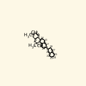 CC1(C)C=CC2=C(C1)CC(C)(C)c1c2ccc2cc(-c3[c]c4cc[c]cc4[c]c3)ccc12